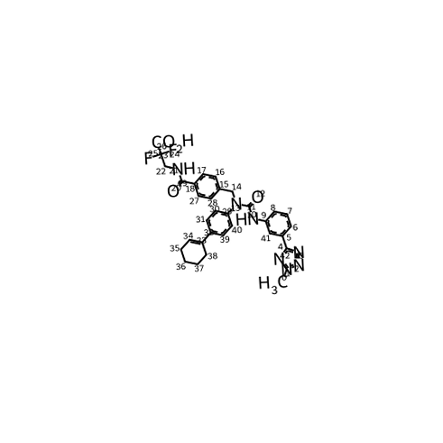 Cn1nnc(-c2cccc(NC(=O)N(Cc3ccc(C(=O)NCC(F)(F)C(=O)O)cc3)c3ccc(C4=CCCCC4)cc3)c2)n1